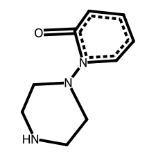 O=c1ccccn1N1CCNCC1